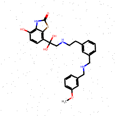 COc1cccc(CNCc2cccc(CCNCC(O)(O)c3ccc(O)c4[nH]c(=O)sc34)c2)c1